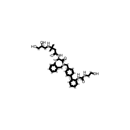 CC(C)(CC(=O)N[C@@H]1Sc2ccccc2CN(Cc2ccc(-c3ccccc3NC(=O)NCCO)cc2)C1=O)NC[C@H](O)CO